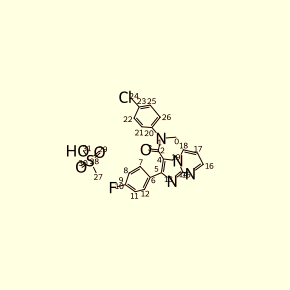 CN(C(=O)c1c(-c2ccc(F)cc2)nc2ncccn12)c1ccc(Cl)cc1.CS(=O)(=O)O